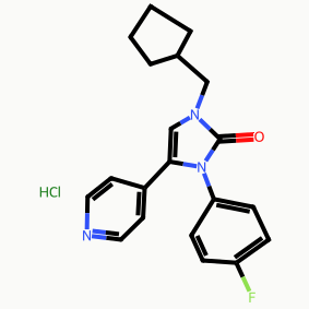 Cl.O=c1n(CC2CCCC2)cc(-c2ccncc2)n1-c1ccc(F)cc1